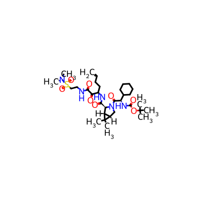 C=CCCC(NC(=O)[C@@H]1[C@@H]2[C@H](CN1C(=O)[C@@H](NC(=O)OC(C)(C)C)C1CCCCC1)C2(C)C)C(=O)C(=O)NCCS(=O)(=O)N(C)C